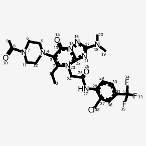 CCc1c(N2CCN(C(C)=O)CC2)c(=O)n2nc(N(C)C)nc2n1CC(=O)Nc1ccc(C(F)(F)F)cc1Cl